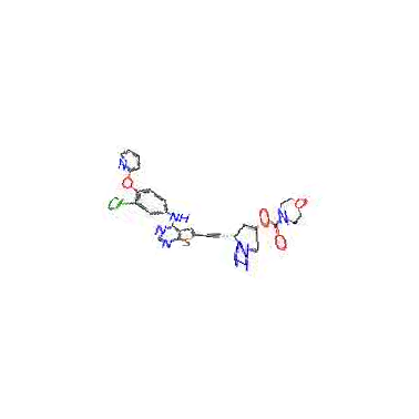 O=C(O[C@@H]1CN[C@H](C#Cc2cc3c(Nc4ccc(Oc5ccccn5)c(Cl)c4)ncnc3s2)C1)N1CCOCC1